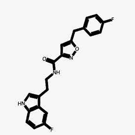 O=C(NCCc1c[nH]c2ccc(F)cc12)c1cc(Cc2ccc(F)cc2)on1